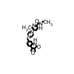 CCNC(=O)c1ccc(N2CCN(Cc3ccc4c5c(c(=O)[nH]c4c3)COC5)CC2)c(C)n1